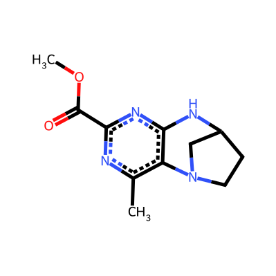 COC(=O)c1nc(C)c2c(n1)NC1CCN2C1